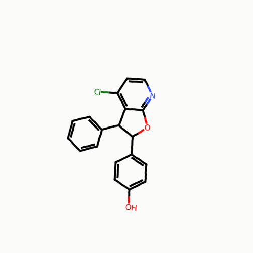 Oc1ccc(C2Oc3nccc(Cl)c3C2c2ccccc2)cc1